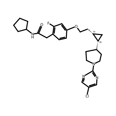 O=C(Cc1ccc(OCC[C@@H]2C[C@@H]2C2CCN(c3ncc(Cl)cn3)CC2)cc1F)NC1CCCC1